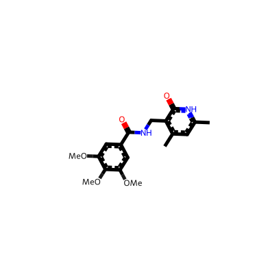 COc1cc(C(=O)NCc2c(C)cc(C)[nH]c2=O)cc(OC)c1OC